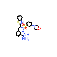 N=C(N)c1cccc(CC(NS(=O)(=O)c2cccc(N3CCOCC3)c2)c2nc3ccccc3s2)c1